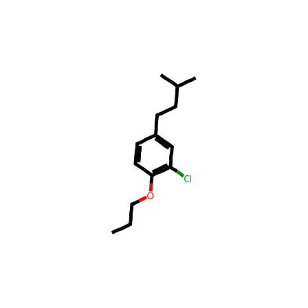 CCCOc1ccc(CCC(C)C)cc1Cl